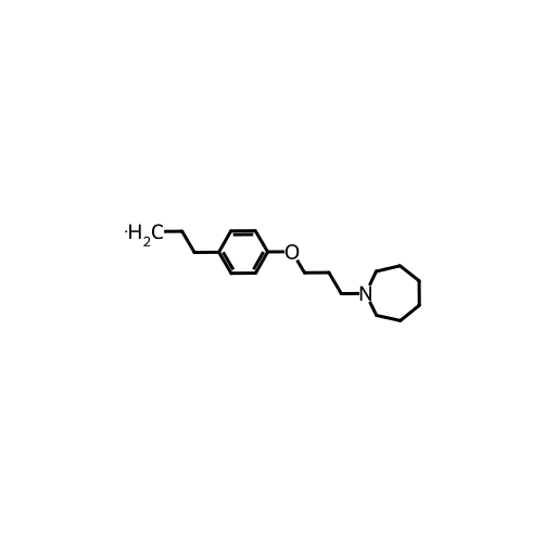 [CH2]CCc1ccc(OCCCN2CCCCCC2)cc1